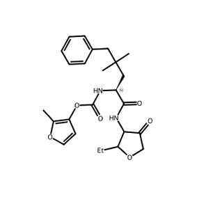 CCC1OCC(=O)C1NC(=O)[C@H](CC(C)(C)Cc1ccccc1)NC(=O)Oc1ccoc1C